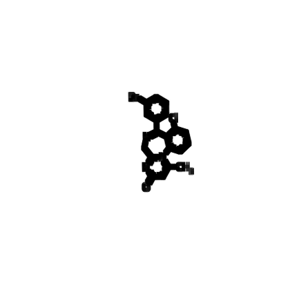 Cc1cc(=O)nc2n1-c1cccc(Cl)c1C(c1cccc(Br)c1)=NC2